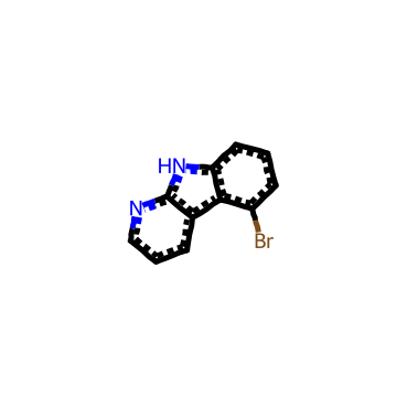 Brc1cccc2[nH]c3ncccc3c12